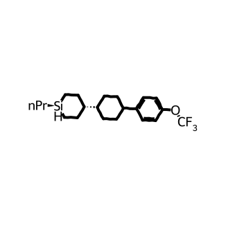 CCC[Si@H]1CC[C@H](C2CCC(c3ccc(OC(F)(F)F)cc3)CC2)CC1